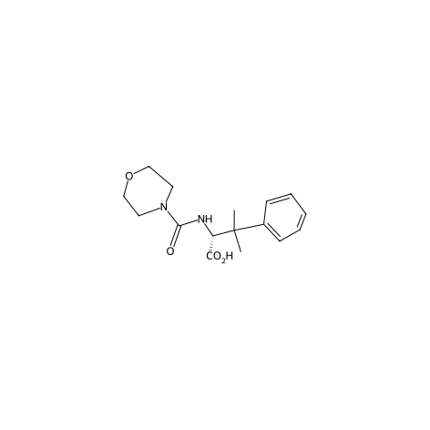 CC(C)(c1ccccc1)[C@@H](NC(=O)N1CCOCC1)C(=O)O